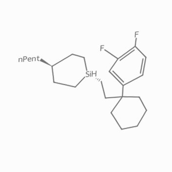 CCCCC[C@H]1CC[Si@H](CCC2(c3ccc(F)c(F)c3)CCCCC2)CC1